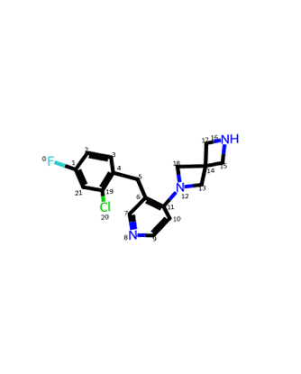 Fc1ccc(Cc2cnccc2N2CC3(CNC3)C2)c(Cl)c1